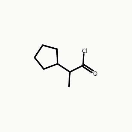 CC(C(=O)Cl)C1CCCC1